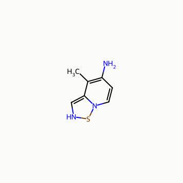 CC1=C(N)C=CN2SNC=C12